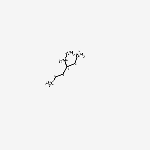 CCCC(CN)NN